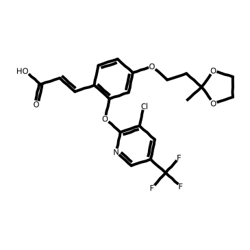 CC1(CCOc2ccc(C=CC(=O)O)c(Oc3ncc(C(F)(F)F)cc3Cl)c2)OCCO1